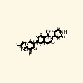 Cc1cn2cc(-c3cc4ccn(C5CCNCC5)c(=O)c4cn3)cc(F)c2n1